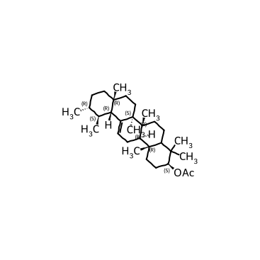 CC(=O)O[C@H]1CC[C@@]2(C)C(CC[C@]3(C)[C@@H]2CC=C2[C@@H]4[C@@H](C)[C@H](C)CC[C@]4(C)CC[C@]23C)C1(C)C